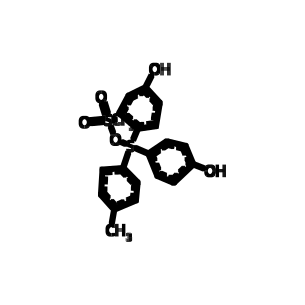 Cc1ccc(S(OS(=O)(=O)C(F)(F)F)(c2ccc(O)cc2)c2ccc(O)cc2)cc1